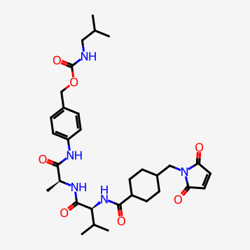 CC(C)CNC(=O)OCc1ccc(NC(=O)[C@H](C)NC(=O)[C@@H](NC(=O)C2CCC(CN3C(=O)C=CC3=O)CC2)C(C)C)cc1